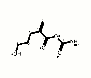 C=C(CCCO)C(=O)OC(N)=O